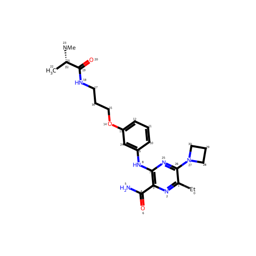 CCc1nc(C(N)=O)c(Nc2cccc(OCCCNC(=O)[C@H](C)NC)c2)nc1N1CCC1